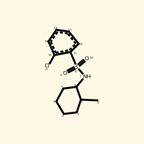 CC1CCCCC1NS(=O)(=O)c1ccccc1Cl